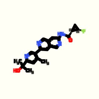 Cc1cc(C(C)(C)O)ncc1-c1cc2cnc(NC(=O)[C@@H]3C[C@@H]3F)cc2cn1